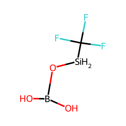 OB(O)O[SiH2]C(F)(F)F